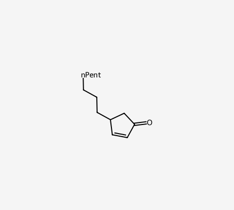 CCCCCCCCC1C=CC(=O)C1